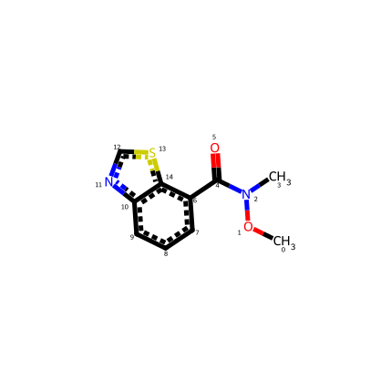 CON(C)C(=O)c1cccc2ncsc12